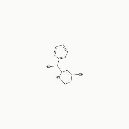 OC1CCNC(C(O)c2ccccc2)C1